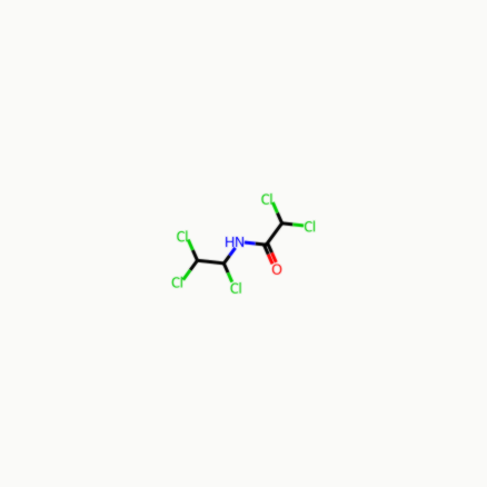 O=C(NC(Cl)C(Cl)Cl)C(Cl)Cl